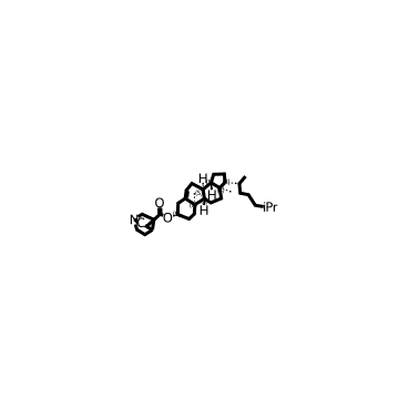 CC(C)CCCC(C)[C@H]1CC[C@H]2[C@@H]3CC=C4C[C@@H](OC(=O)C5CN6CCC5CC6)CC[C@]4(C)[C@H]3CC[C@]12C